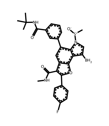 Bc1cn([S+](C)[O-])c2c(-c3cccc(C(=O)NC(C)(C)C)c3)cc3c(C(=O)NC)c(-c4ccc(F)cc4)oc3c12